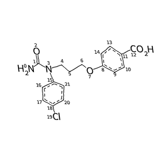 NC(=O)N(CCCOc1ccc(C(=O)O)cc1)c1ccc(Cl)cc1